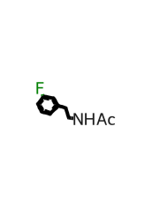 CC(=O)NCCc1cccc(F)c1